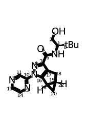 CC(C)(C)[C@H](CO)NC(=O)c1nn(-c2cnccn2)c2c1C[C@@H]1C[C@H]21